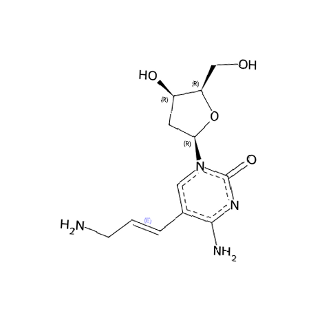 NC/C=C/c1cn([C@H]2C[C@@H](O)[C@@H](CO)O2)c(=O)nc1N